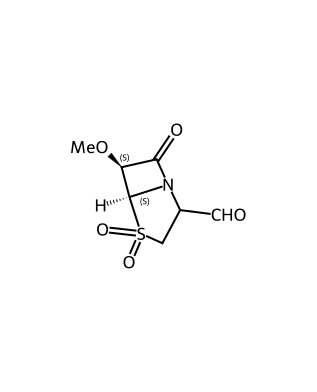 CO[C@H]1C(=O)N2C(C=O)CS(=O)(=O)[C@@H]12